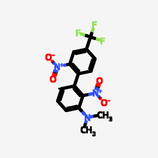 CN(C)c1cc[c]c(-c2ccc(C(F)(F)F)cc2[N+](=O)[O-])c1[N+](=O)[O-]